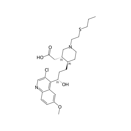 CCCSCCN1CC[C@@H](CC[C@H](O)c2c(Cl)cnc3ccc(OC)cc23)[C@H](CC(=O)O)C1